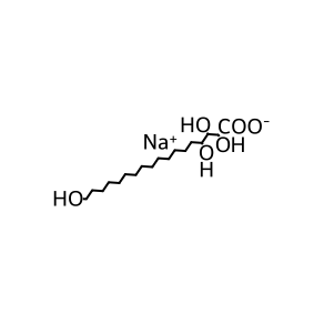 O=C([O-])C(O)C(O)C(O)CCCCCCCCCCCCCCO.[Na+]